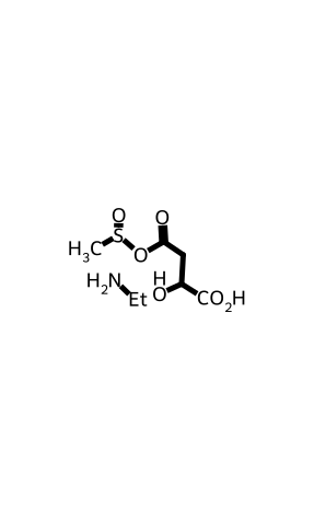 CCN.CS(=O)OC(=O)CC(O)C(=O)O